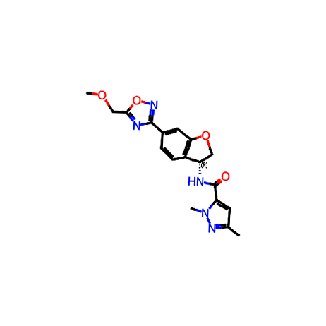 COCc1nc(-c2ccc3c(c2)OC[C@@H]3NC(=O)c2cc(C)nn2C)no1